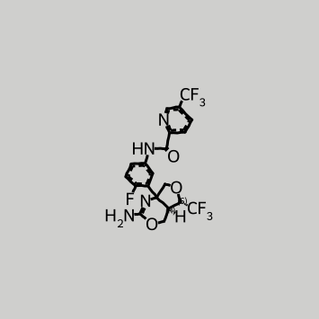 NC1=NC2(c3cc(NC(=O)c4ccc(C(F)(F)F)cn4)ccc3F)CO[C@H](C(F)(F)F)[C@H]2CO1